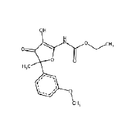 CCOC(=O)NC1=C(O)C(=O)C(C)(c2cccc(OC)c2)O1